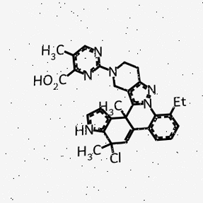 CCc1cccc2c1-n1nc3c(c1C1(C)C2=CC(C)(Cl)c2[nH]ccc21)CN(c1ncc(C)c(C(=O)O)n1)CC3